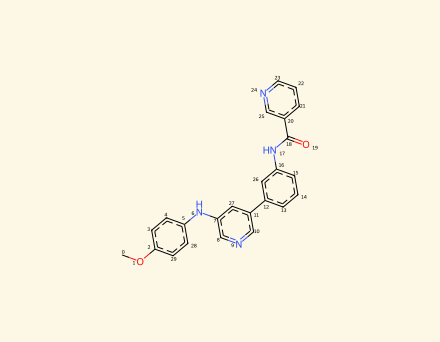 COc1ccc(Nc2cncc(-c3cccc(NC(=O)c4cccnc4)c3)c2)cc1